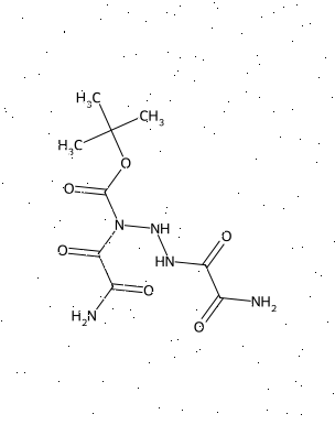 CC(C)(C)OC(=O)N(NNC(=O)C(N)=O)C(=O)C(N)=O